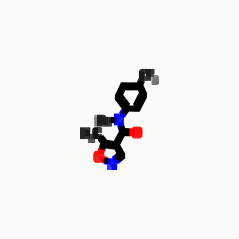 CCC(C)N(C(=O)c1cnoc1C)c1ccc(C(F)(F)F)cc1